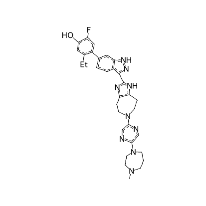 CCc1cc(O)c(F)cc1-c1ccc2c(-c3nc4c([nH]3)CCN(c3cnc(N5CCCN(C)CC5)cn3)CC4)n[nH]c2c1